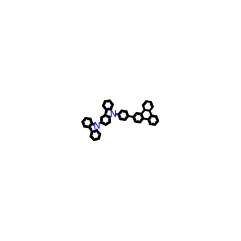 C1=CC2c3ccccc3-c3ccc(-c4ccc(-n5c6ccccc6c6cc(-n7c8ccccc8c8ccccc87)ccc65)cc4)cc3C2C=C1